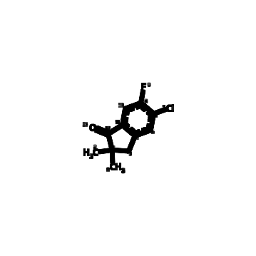 CC1(C)Cc2cc(Cl)c(F)cc2C1=O